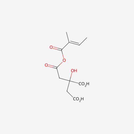 CC=C(C)C(=O)OC(=O)CC(O)(CC(=O)O)C(=O)O